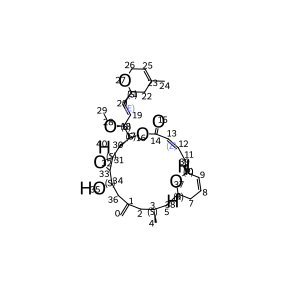 C=C1C[C@H](C)C[C@@H]2CC=C[C@@H](C/C=C\C(=O)O[C@H]([C@H](/C=C/[C@@H]3CC(C)=CCO3)OC)C[C@@H]3OC3[C@@H](O)C1)O2